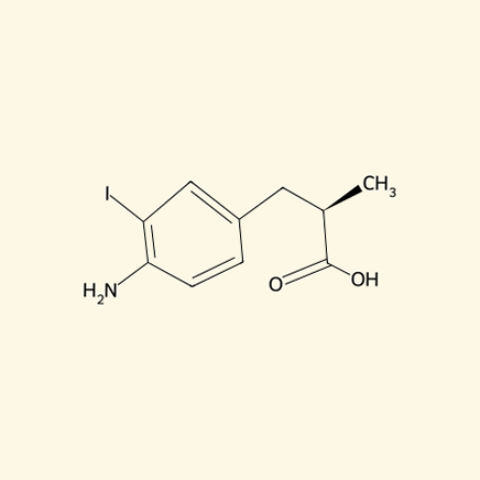 C[C@H](Cc1ccc(N)c(I)c1)C(=O)O